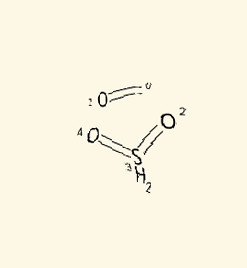 C=O.O=[SH2]=O